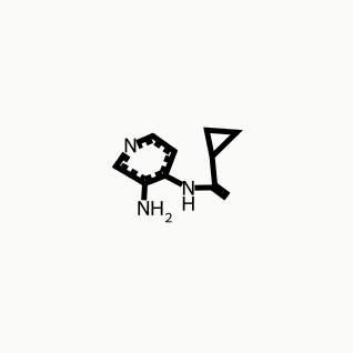 C=C(Nc1ccncc1N)C1CC1